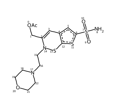 CC(=O)OCC1=Cc2cc(S(N)(=O)=O)sc2SN1CCN1CCOCC1